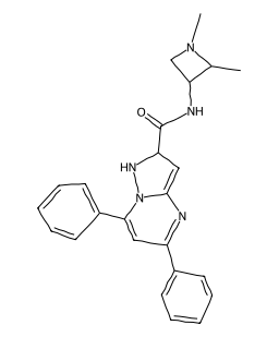 CC1C(NC(=O)C2C=C3N=C(c4ccccc4)C=C(c4ccccc4)N3N2)CN1C